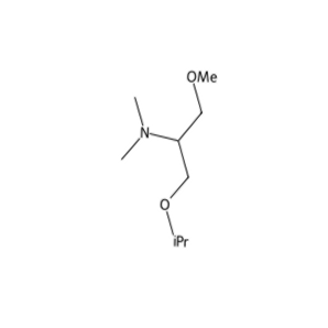 COCC(COC(C)C)N(C)C